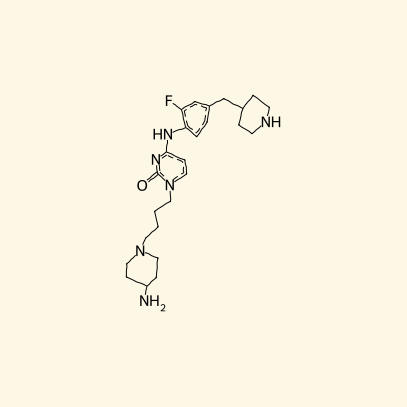 NC1CCN(CCCCn2ccc(Nc3ccc(CC4CCNCC4)cc3F)nc2=O)CC1